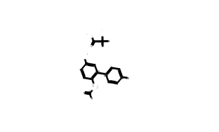 Cc1ccc(-c2cc(F)ccc2NC(=O)O)cc1.O=C(O)C(F)(F)F